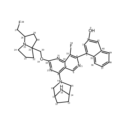 Oc1cc(-c2ncc3c(N4CC5CCC(C4)N5)nc(OCC45CCCN4C(CF)CC5)nc3c2F)c2ccccc2c1